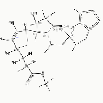 [2H]/C(=C(\[2H])C([2H])(C)[C@]1(C)[C@@H](C(C)C[C@@](C)(O)C(C)Cc2cccc(C)c2C)[C@H](O)C(C)(C)[C@]1(C)O)C([2H])(C)C([2H])([2H])C([2H])(C)C(=O)OC(C)(C)C